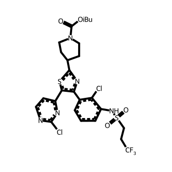 CC(C)COC(=O)N1CCC(c2nc(-c3cccc(NS(=O)(=O)CCC(F)(F)F)c3Cl)c(-c3ccnc(Cl)n3)s2)CC1